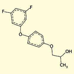 CC(O)COc1ccc(Oc2cc(F)cc(F)c2)cc1